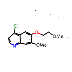 COCCOc1cc2c(Cl)ccnc2cc1OC